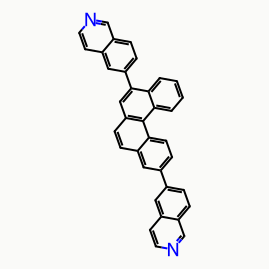 c1ccc2c(c1)c(-c1ccc3cnccc3c1)cc1ccc3cc(-c4ccc5cnccc5c4)ccc3c12